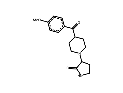 COc1ccc(C(=O)C2CCN(C3CCNC3=O)CC2)cc1